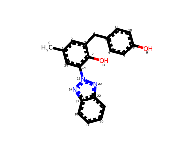 Cc1cc(Cc2ccc(O)cc2)c(O)c(-n2nc3ccccc3n2)c1